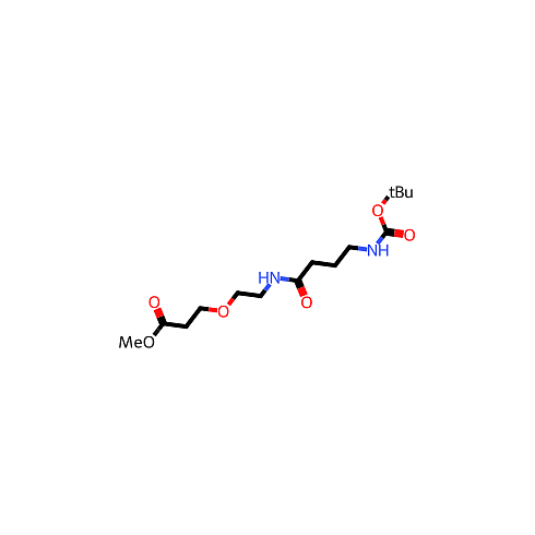 COC(=O)CCOCCNC(=O)CCCNC(=O)OC(C)(C)C